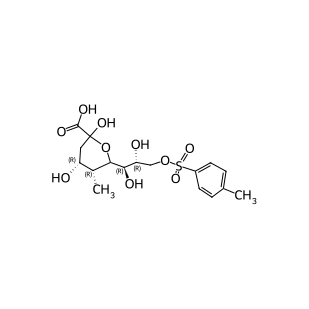 Cc1ccc(S(=O)(=O)OC[C@@H](O)[C@@H](O)C2OC(O)(C(=O)O)C[C@@H](O)[C@H]2C)cc1